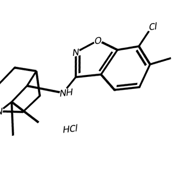 Cc1ccc2c(NC3C4CCN(CC4)C3(C)C)noc2c1Cl.Cl